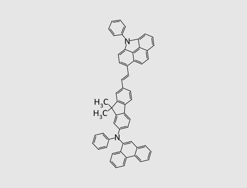 CC1(C)c2cc(/C=C/c3ccc4c5c3ccc3cccc(c35)n4-c3ccccc3)ccc2-c2ccc(N(c3ccccc3)c3cc4ccccc4c4ccccc34)cc21